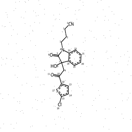 N#CCCCN1C(=O)C(O)(CC(=O)c2ccc(Cl)s2)c2ccccc21